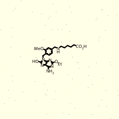 CCOc1nc(N)c2nc(O)n(Cc3ccc(CNCCCCCC(=O)O)cc3OC)c2n1